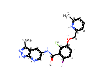 COc1n[nH]c2ncc(NC(=O)c3c(I)ccc(OCc4cccc(C)n4)c3F)cc12